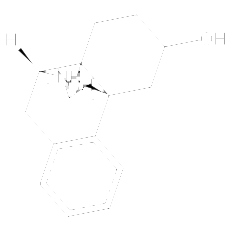 OC1CCC2(O)[C@H]3Cc4ccccc4[C@@]2(CCN3)C1